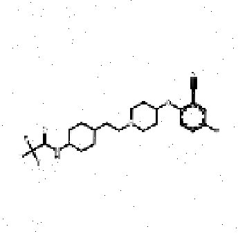 N#Cc1cc(F)ccc1OC1CCN(CCC2CCC(NC(=O)C(F)(F)F)CC2)CC1